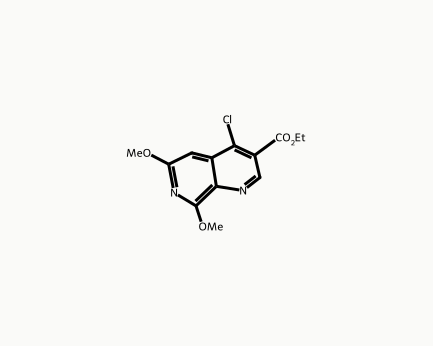 CCOC(=O)c1cnc2c(OC)nc(OC)cc2c1Cl